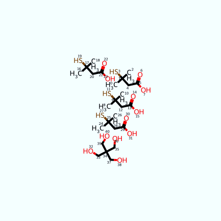 CC(C)(S)CC(=O)O.CC(C)(S)CC(=O)O.CC(C)(S)CC(=O)O.CC(C)(S)CC(=O)O.OCC(CO)(CO)CO